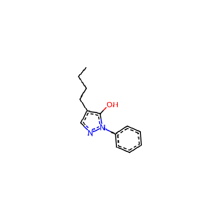 CCCCc1cnn(-c2ccccc2)c1O